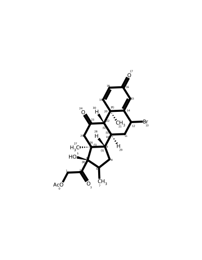 CC(=O)OCC(=O)[C@@]1(O)C(C)C[C@H]2[C@@H]3CC(Br)C4=CC(=O)C=C[C@]4(C)[C@H]3C(=O)C[C@@]21C